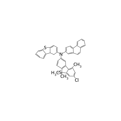 Cc1cc(Cl)cc2c1-c1cc(N(C3=CC=C4Sc5ccccc5C4C3)c3ccc4c(ccc5ccccc54)c3)ccc1[Si]2(C)C